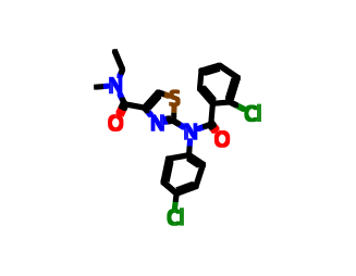 CCN(C)C(=O)c1csc(N(C(=O)c2ccccc2Cl)c2ccc(Cl)cc2)n1